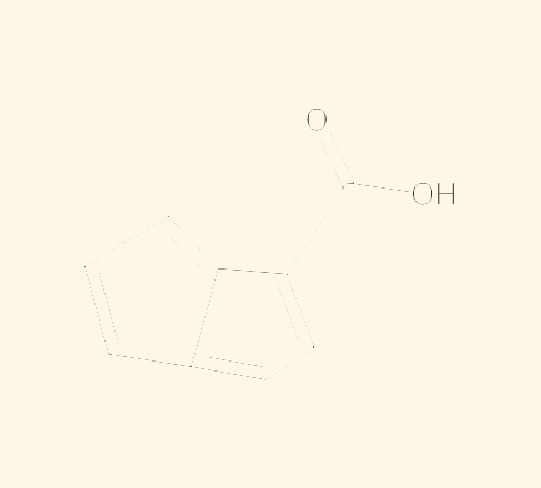 O=C(O)C1=CC=C2C=CC=C21